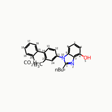 CCCCc1nc2c(O)cccc2n1-c1ccc(-c2ccccc2C(=O)O)c(C)c1